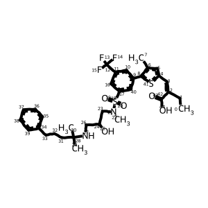 CCC(=Cc1cc(C)c(-c2cc(C(F)(F)F)cc(S(=O)(=O)N(C)CC(O)CNC(C)(C)CCCc3ccccc3)c2)s1)C(=O)O